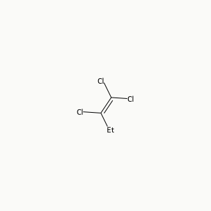 CCC(Cl)=C(Cl)Cl